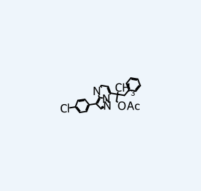 CC(=O)OCC(C)(Cc1ccccc1)c1ccnc2c(-c3ccc(Cl)cc3)cnn12